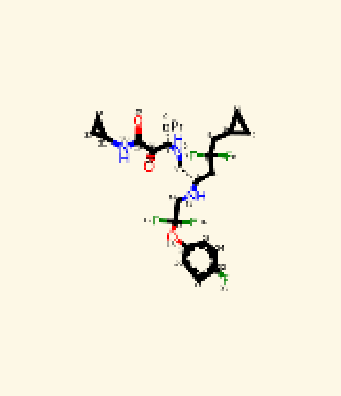 CCC[C@H](NC[C@H](CC(F)(F)CC1CC1)NCC(F)(F)Oc1ccc(F)cc1)C(=O)C(=O)NC1CC1